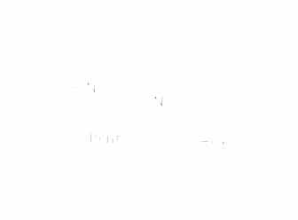 CCCCCCC(C)(CCCCC)N1CCC=C1N